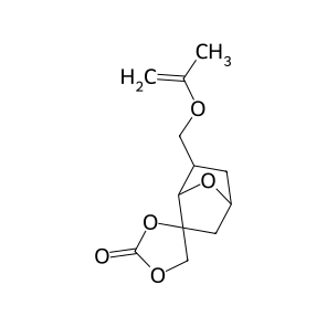 C=C(C)OCC1CC2CC3(COC(=O)O3)C1O2